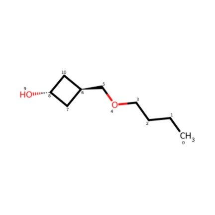 CCCCOC[C@H]1C[C@H](O)C1